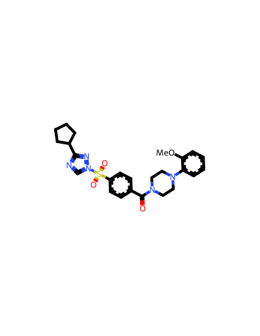 COc1ccccc1N1CCN(C(=O)c2ccc(S(=O)(=O)n3cnc(C4CCCC4)n3)cc2)CC1